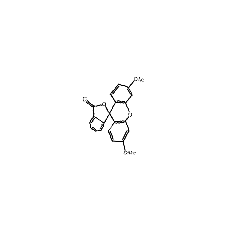 COc1ccc2c(c1)Oc1cc(OC(C)=O)ccc1C21OC(=O)c2ccccc21